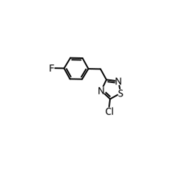 Fc1ccc(Cc2nsc(Cl)n2)cc1